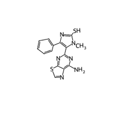 Cn1c(S)nc(-c2ccccc2)c1-c1nc(N)c2ncsc2n1